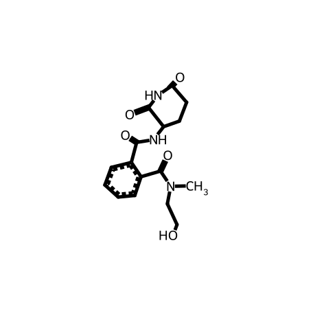 CN(CCO)C(=O)c1ccccc1C(=O)NC1CCC(=O)NC1=O